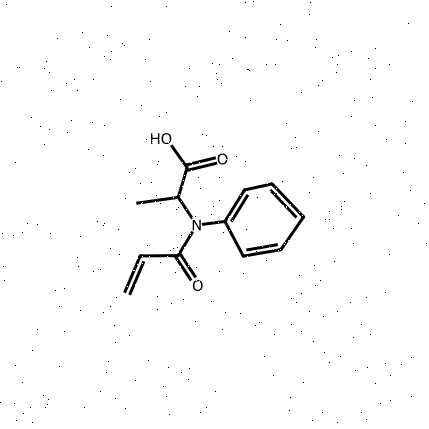 C=CC(=O)N(c1ccccc1)C(C)C(=O)O